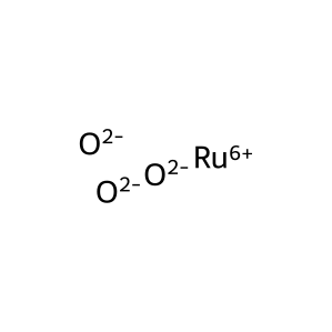 [O-2].[O-2].[O-2].[Ru+6]